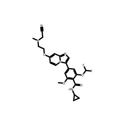 COc1cc(-c2cnc3cc(OCCN(C)CC#N)ccn23)cc(OC(F)F)c1C(=O)NC1CC1